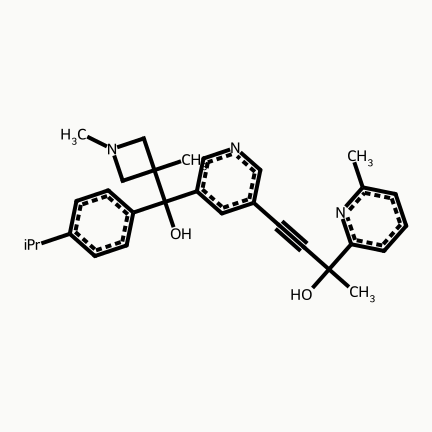 Cc1cccc(C(C)(O)C#Cc2cncc(C(O)(c3ccc(C(C)C)cc3)C3(C)CN(C)C3)c2)n1